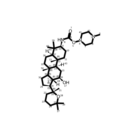 CN1CCN(OC(=O)N[C@H]2CC[C@]3(C)[C@H]4C[C@@H](O)[C@@H]5[C@@H]([C@@]6(C)CCCC(C)(C)O6)CC[C@@]5(C)[C@]4(C)CC[C@H]3C2(C)C)CC1